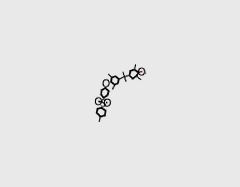 COc1c(C)cc(C(C)(C)c2cc(C)c(Oc3ccc(S(=O)(=O)c4ccc(C)cc4)cc3)c(C)c2)cc1C